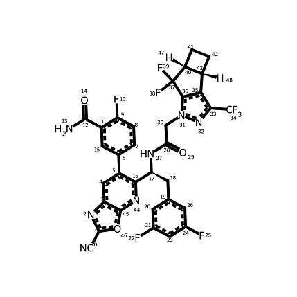 N#Cc1nc2cc(-c3ccc(F)c(C(N)=O)c3)c([C@H](Cc3cc(F)cc(F)c3)NC(=O)Cn3nc(C(F)(F)F)c4c3C(F)(F)[C@@H]3CC[C@H]43)nc2o1